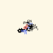 CC(C)C[C@H](NC(=O)c1cc2ccccc2[nH]1)C(=O)N1C[C@H]2[C@@H]([C@H]1C(=O)N[C@H](C#N)C(C)C)C2(C)C